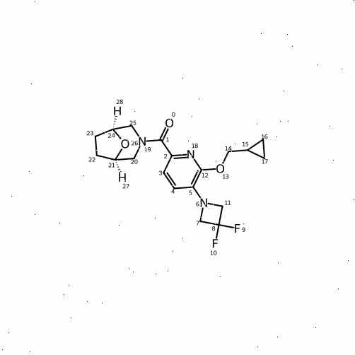 O=C(c1ccc(N2CC(F)(F)C2)c(OCC2CC2)n1)N1C[C@H]2CC[C@@H](C1)O2